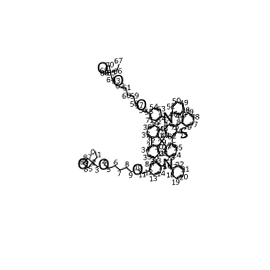 CCC1(COCCCCCOCc2ccc(N(c3ccccc3)c3ccc4c(c3)C3(c5ccccc5-c5ccccc53)c3cc(N(c5ccccc5)c5ccc(COCCCCCOCC6(CC)COC6)cc5)c5c(sc6ccccc65)c3-4)cc2)COC1